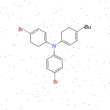 CCC(C)C1=CC=C(N(C2=CC=C(Br)CC2)c2ccc(Br)cc2)CC1